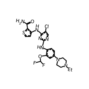 CCN1CCN(c2ccc(Nc3ncc(Cl)c(Nc4ccsc4C(N)=O)n3)c(OC(F)F)c2)CC1